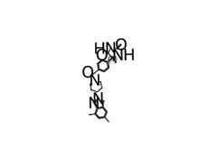 Cc1cc(C)c2nn(C3CCN(C(=O)c4ccc([C@@]5(C)NC(=O)NC5=O)cc4)CC3)cc2c1